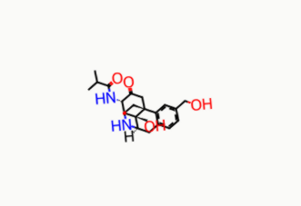 CC(C)C(=O)N[C@H]1C[C@@]2(CO)[C@H]3Cc4ccc(CO)cc4[C@@]2(CCN3)CC1=O